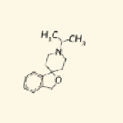 CC(C)N1CCC2(CC1)OCc1ccccc12